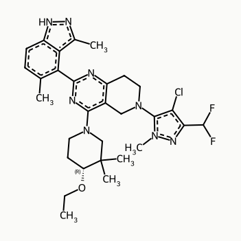 CCO[C@@H]1CCN(c2nc(-c3c(C)ccc4[nH]nc(C)c34)nc3c2CN(c2c(Cl)c(C(F)F)nn2C)CC3)CC1(C)C